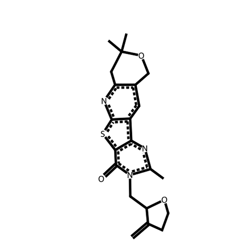 C=C1CCOC1Cn1c(C)nc2c(sc3nc4c(cc32)COC(C)(C)C4)c1=O